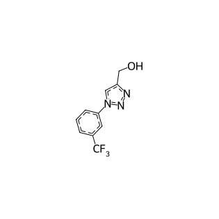 OCc1cn(-c2cccc(C(F)(F)F)c2)nn1